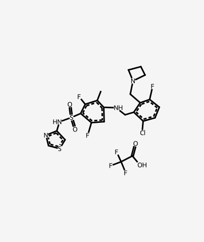 Cc1c(NCc2c(Cl)ccc(F)c2CN2CCC2)cc(F)c(S(=O)(=O)Nc2cscn2)c1F.O=C(O)C(F)(F)F